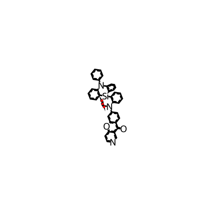 O=c1c2ccc(N3c4ccccc4[Si]4(c5ccccc5N(c5ccccc5)c5ccccc54)c4ccccc43)cc2oc2ccncc12